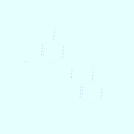 O=Cc1cc(F)cc(OCc2ccc(F)cc2C(F)(F)F)c1